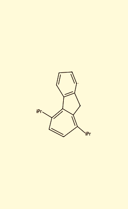 CC(C)c1ccc(C(C)C)c2c1Cc1[c]cccc1-2